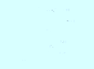 CCCCC(NC(=O)CCCC(=O)O)NC(=O)O[C@@H]1[C@H](O)[C@H](OP(=O)(O)O)[C@@H](O)[C@H](O)[C@H]1O